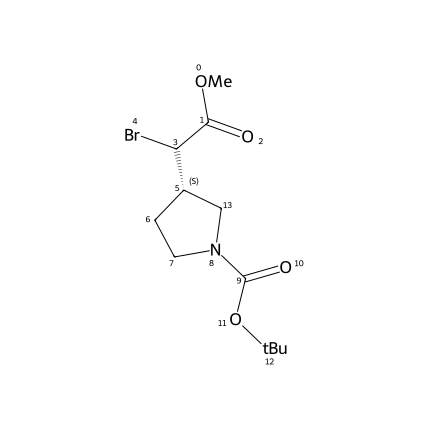 COC(=O)C(Br)[C@H]1CCN(C(=O)OC(C)(C)C)C1